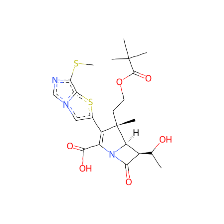 CSc1ncn2cc(C3=C(C(=O)O)N4C(=O)[C@H](C(C)O)[C@@H]4[C@@]3(C)CCOC(=O)C(C)(C)C)sc12